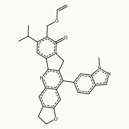 C=COCc1c(C(C)C)cc2n(c1=O)Cc1c-2nc2cc3c(cc2c1-c1ccc2cnn(C)c2c1)OCC3